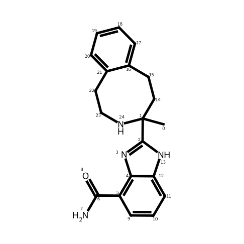 CC1(c2nc3c(C(N)=O)cccc3[nH]2)CCc2ccccc2CCN1